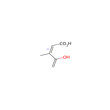 C=C(O)/C(C)=C\C(=O)O